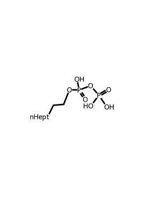 CCCCCCCCCOP(=O)(O)OP(=O)(O)O